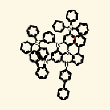 c1ccc(-c2ccc(N3c4cccc(-c5ccccc5)c4B4c5ccc([Si](c6ccccc6)(c6ccccc6)c6ccccc6)cc5N(c5cccc([Si](c6ccccc6)(c6ccccc6)c6ccccc6)c5)c5cc(-n6c7ccccc7c7ccccc76)cc3c54)cc2)cc1